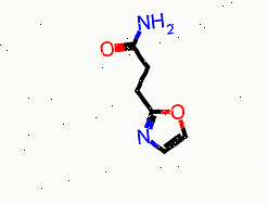 NC(=O)CCc1ncco1